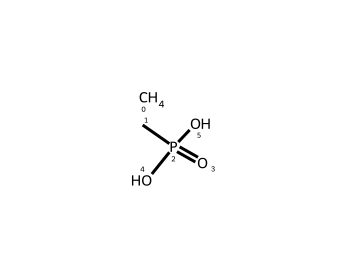 C.CP(=O)(O)O